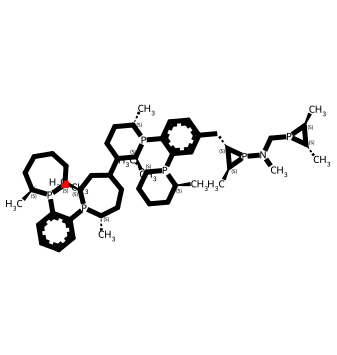 C[C@H]1[C@H](C)P1CN(C)P1[C@@H](C)[C@@H]1Cc1ccc(P2[C@@H](C)CCC(C3CC[C@H](C)P(c4ccccc4P4[C@@H](C)CCCC[C@@H]4C)[C@@H](C)C3)[C@@H]2C)c(P2[C@@H](C)CCC[C@@H]2C)c1